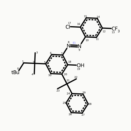 CC(C)(C)CC(C)(C)c1cc(/N=N/c2cc(C(F)(F)F)ccc2Cl)c(O)c(C(C)(C)c2ccccc2)c1